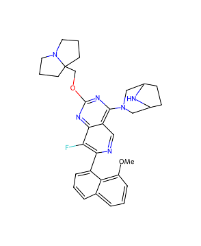 COc1cccc2cccc(-c3ncc4c(N5CC6CCC(C5)N6)nc(OCC56CCCN5CCC6)nc4c3F)c12